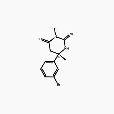 CN1C(=N)N[C@](C)(c2cccc(Br)c2)CC1=O